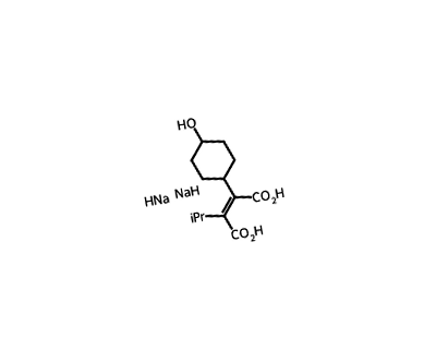 CC(C)/C(C(=O)O)=C(/C(=O)O)C1CCC(O)CC1.[NaH].[NaH]